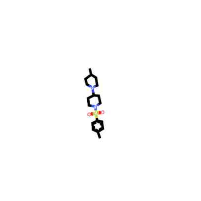 Cc1ccc(S(=O)(=O)N2CCC(N3CCC(C)CC3)CC2)cc1